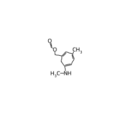 CNC1=CC=C(C)C=C(COC=O)C1